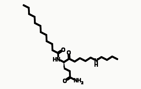 CCCCCCCCCCCC(=O)N[C@@H](CCC(N)=O)C(=O)CCCCNCCCC